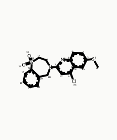 CSc1ccc2nc(N3CCS(=O)(=O)c4ccccc4C3)cc(Cl)c2c1